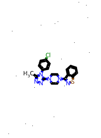 Cc1nnc(N2CCN(c3nsc4ccccc34)CC2)n1-c1ccc(Cl)cc1